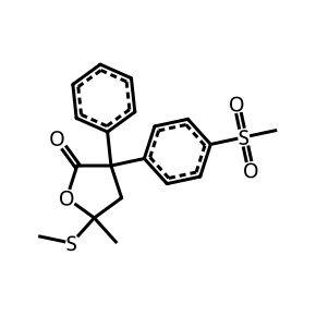 CSC1(C)CC(c2ccccc2)(c2ccc(S(C)(=O)=O)cc2)C(=O)O1